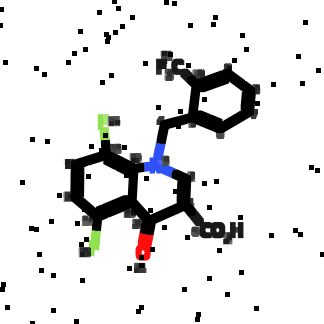 O=C(O)c1cn(Cc2ccccc2C(F)(F)F)c2c(F)ccc(F)c2c1=O